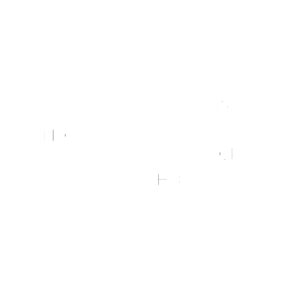 CC1CCC(C(C=O)C(C)C)CC1